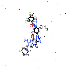 Cc1cc(-n2cnc(C(=O)NCCN3CCCCC3)c2C(N)=O)ccc1NC(=O)c1ccc(F)cc1Cl